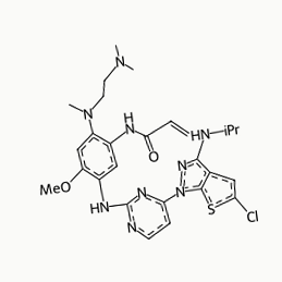 C=CC(=O)Nc1cc(Nc2nccc(-n3nc(NC(C)C)c4cc(Cl)sc43)n2)c(OC)cc1N(C)CCN(C)C